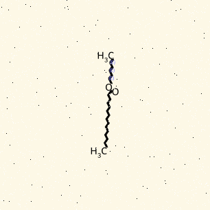 C/C=C/C=C/C=C/COC(=O)CCCCCCCCCCCCCCC